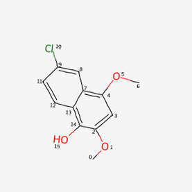 COc1cc(OC)c2cc(Cl)ccc2c1O